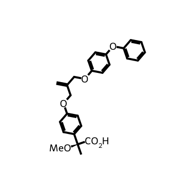 C=C(COc1ccc(Oc2ccccc2)cc1)COc1ccc([C@](C)(OC)C(=O)O)cc1